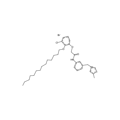 CCCCCCCCCCCCCCOc1c(Cl)cccc1OCC(=O)Nc1cccc(C[n+]2csc(C)c2)c1.[Br-]